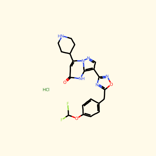 Cl.O=c1cc(C2CCNCC2)n2ncc(-c3noc(Cc4ccc(OC(F)F)cc4)n3)c2[nH]1